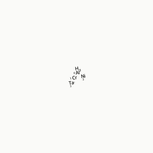 [AlH3].[Cr].[Ni].[Ta]